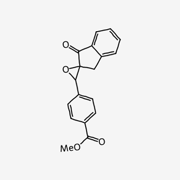 COC(=O)c1ccc(C2OC23Cc2ccccc2C3=O)cc1